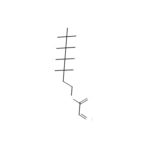 C=CC(=O)OCCC(F)(F)C(F)(F)C(F)(F)C(F)(F)F